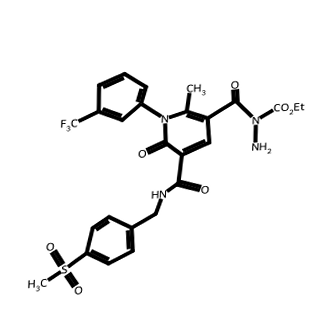 CCOC(=O)N(N)C(=O)c1cc(C(=O)NCc2ccc(S(C)(=O)=O)cc2)c(=O)n(-c2cccc(C(F)(F)F)c2)c1C